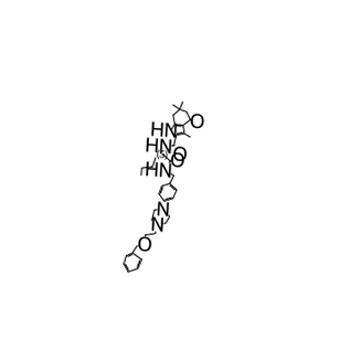 CCCC[C@H](NC(=O)c1[nH]c2c(c1C)C(=O)CC(C)(C)C2)C(=O)NCc1ccc(N2CCN(CCOCc3ccccc3)CC2)cc1